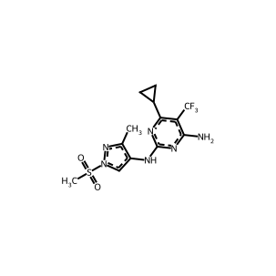 Cc1nn(S(C)(=O)=O)cc1Nc1nc(N)c(C(F)(F)F)c(C2CC2)n1